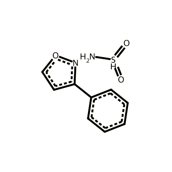 N[SH](=O)=O.c1ccc(-c2ccon2)cc1